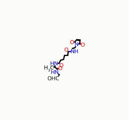 C[C@H](NC(=O)CCCCC(=O)NCCN1C(=O)C=CC1=O)C(=O)NCC=O